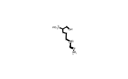 NN=CNCCCC(CS)C(=O)O